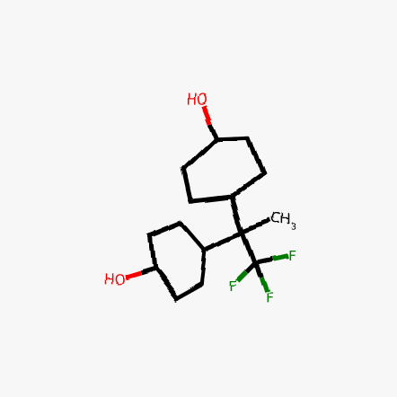 CC(C1CCC(O)CC1)(C1CCC(O)CC1)C(F)(F)F